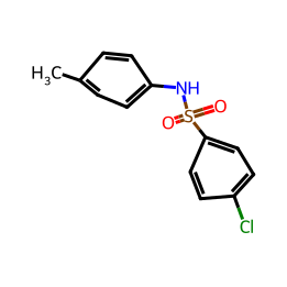 Cc1ccc(NS(=O)(=O)c2ccc(Cl)cc2)cc1